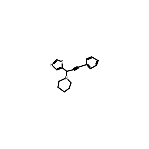 C(#CC(c1cncs1)N1CCCCC1)c1ccccc1